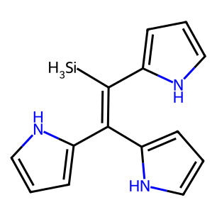 [SiH3]C(=C(c1ccc[nH]1)c1ccc[nH]1)c1ccc[nH]1